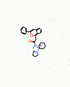 CN(C(=O)Cc1oc(-c2ccccc2)cc2cccc1-2)[C@@H]1CCCC[C@H]1N1CCCC1